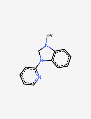 CCCN1CN(c2ccccn2)c2ccccc21